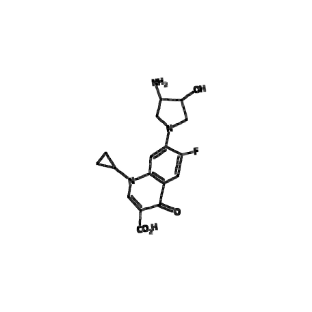 NC1CN(c2cc3c(cc2F)c(=O)c(C(=O)O)cn3C2CC2)CC1O